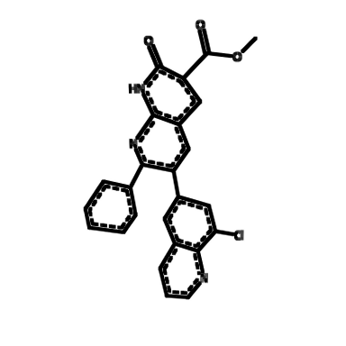 COC(=O)c1cc2cc(-c3cc(Cl)c4ncccc4c3)c(-c3ccccc3)nc2[nH]c1=O